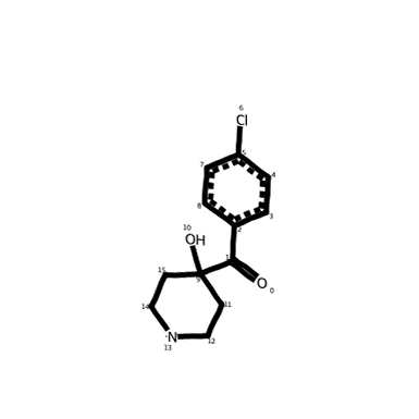 O=C(c1ccc(Cl)cc1)C1(O)CC[N]CC1